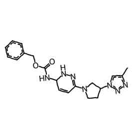 Cc1cn(C2CCN(C3=NNC(NC(=O)OCc4ccccc4)C=C3)C2)nn1